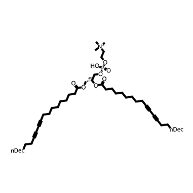 CCCCCCCCCCCCC#CC#CCCCCCCCCC(=O)OC[C@H](COP(=O)(O)OCC[N+](C)(C)C)OC(=O)CCCCCCCCC#CC#CCCCCCCCCCCCC